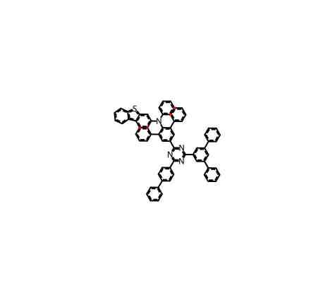 c1ccc(-c2ccc(-c3nc(-c4cc(-c5ccccc5)cc(-c5ccccc5)c4)nc(-c4cc(-c5ccccc5)c(N(c5ccccc5)c5ccc6c(c5)sc5ccccc56)c(-c5ccccc5)c4)n3)cc2)cc1